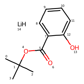 CC(C)(C)OC(=O)c1ccccc1O.[LiH]